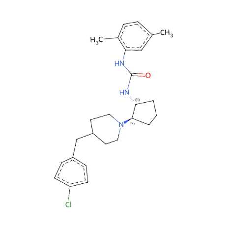 Cc1ccc(C)c(NC(=O)N[C@@H]2CCC[C@H]2N2CCC(Cc3ccc(Cl)cc3)CC2)c1